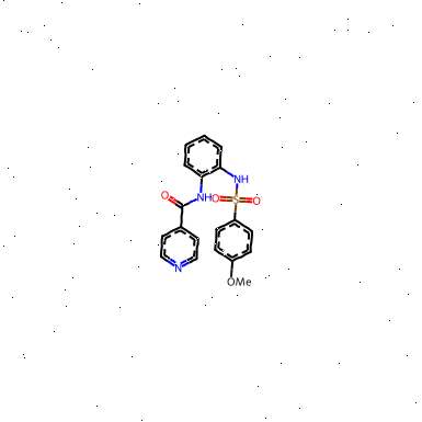 COc1ccc(S(=O)(=O)Nc2ccccc2NC(=O)c2ccncc2)cc1